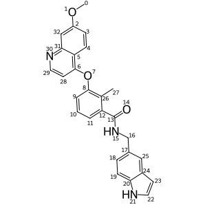 COc1ccc2c(Oc3cccc(C(=O)NCc4ccc5[nH]ccc5c4)c3C)ccnc2c1